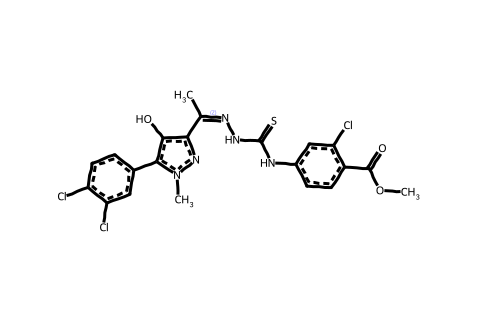 COC(=O)c1ccc(NC(=S)N/N=C(/C)c2nn(C)c(-c3ccc(Cl)c(Cl)c3)c2O)cc1Cl